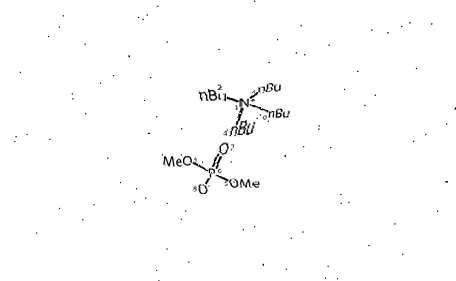 CCCC[N+](CCCC)(CCCC)CCCC.COP(=O)([O-])OC